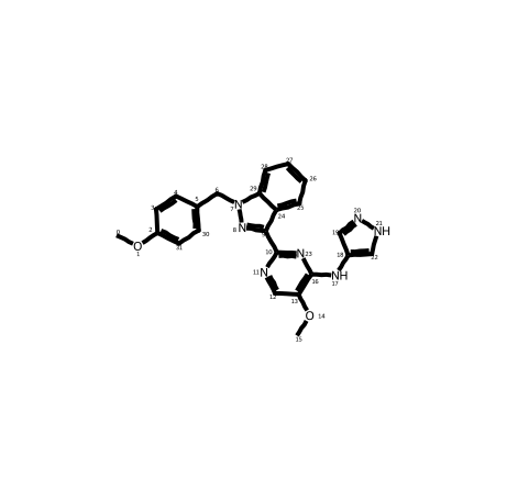 COc1ccc(Cn2nc(-c3ncc(OC)c(Nc4cn[nH]c4)n3)c3ccccc32)cc1